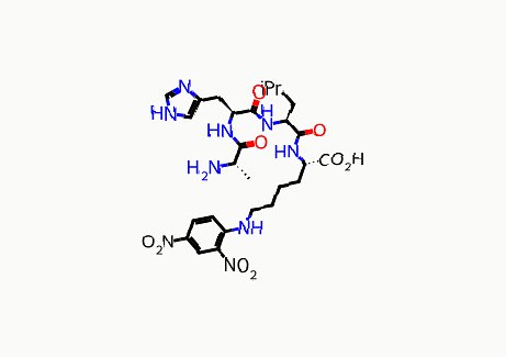 CC(C)C[C@H](NC(=O)[C@H](Cc1c[nH]cn1)NC(=O)[C@H](C)N)C(=O)N[C@@H](CCCCNc1ccc([N+](=O)[O-])cc1[N+](=O)[O-])C(=O)O